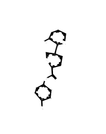 O=C(Nc1ccc([N+](=O)[O-])cc1)c1ccc(-c2ncccc2Cl)cn1